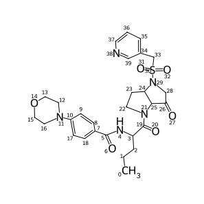 CCCC(NC(=O)c1ccc(N2CCOCC2)cc1)C(=O)N1CCC2C1C(=O)CN2S(=O)(=O)Cc1cccnc1